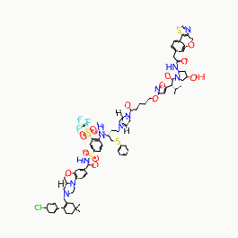 CC(C)[C@@H](C(=O)N1C[C@H](O)C[C@@H]1NC(=O)Cc1ccc2c(c1)OCc1ncsc1-2)c1cc(OCCCCC(=O)N2C[C@H]3C[C@@H]2CN3CC[C@H](CSc2ccccc2)Nc2ccc(S(=O)(=O)NC(=O)c3ccc4c(c3)OC[C@@H]3CN(CC5=C(c6ccc(Cl)cc6)CCC(C)(C)C5)CCN43)cc2S(=O)(=O)C(F)(F)F)no1